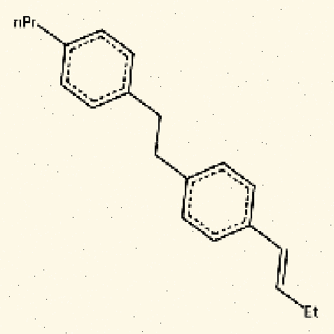 CC/C=C/c1ccc(CCc2ccc(CCC)cc2)cc1